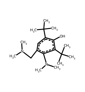 CN(C)Cc1cc(C(C)(C)C)c(O)c(C(C)(C)C)c1N(C)C